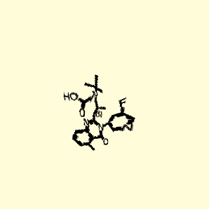 Cc1cccc2nc([C@H](C)N(C(=O)O)C(C)(C)C)n(-c3cncc(F)c3)c(=O)c12